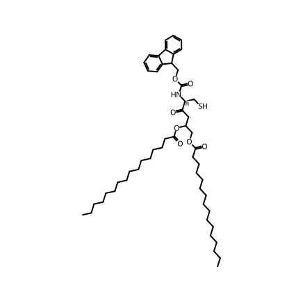 CCCCCCCCCCCCCCCC(=O)OCC([CH]C(=O)[C@H](CS)NC(=O)OCC1c2ccccc2-c2ccccc21)OC(=O)CCCCCCCCCCCCCCC